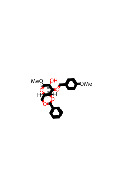 COc1ccc(COC2[C@@H](O)[C@@H](OC)O[C@@H]3COC(c4ccccc4)O[C@@H]23)cc1